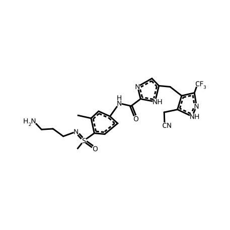 Cc1cc(NC(=O)c2ncc(Cc3c(C(F)(F)F)n[nH]c3CC#N)[nH]2)ccc1S(C)(=O)=NCCCN